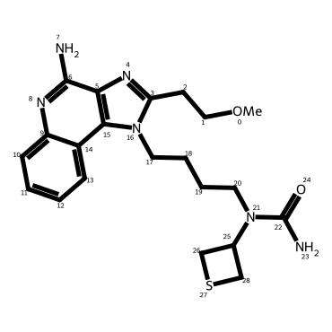 COCCc1nc2c(N)nc3ccccc3c2n1CCCCN(C(N)=O)C1CSC1